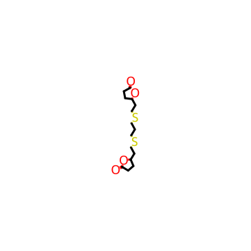 O=C1CCC(CCSCCCSCCC2CCC(=O)O2)O1